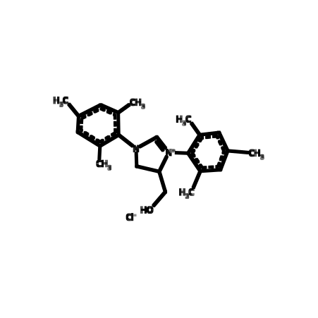 Cc1cc(C)c(N2C=[N+](c3c(C)cc(C)cc3C)C(CO)C2)c(C)c1.[Cl-]